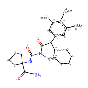 CCCCCN(C(=O)NC1(C(N)=O)CCCC1)C(=O)C(c1cc(OC)c(OC)c(OC)c1)C1CCCCC1